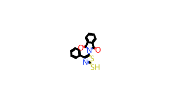 O=C1c2ccccc2C(=O)N1c1sc(S)nc1-c1ccccc1